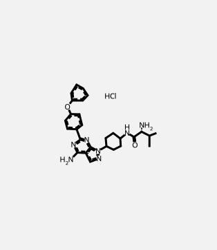 CC(C)[C@@H](N)C(=O)NC1CCC(n2ncc3c(N)nc(-c4ccc(Oc5ccccc5)cc4)nc32)CC1.Cl